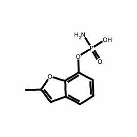 Cc1cc2cccc(OP(N)(=O)O)c2o1